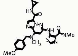 CNC(=O)c1ncsc1Nc1cc(N(C)Cc2ccc(OC)cc2)c2ncc(C(=O)NC3CC3)n2n1